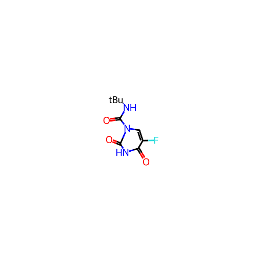 CC(C)(C)NC(=O)n1cc(F)c(=O)[nH]c1=O